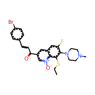 CCSc1c(N2CCN(C)CC2)c(F)cc2cc(C(=O)C=Cc3ccc(Br)cc3)c[n+]([O-])c12